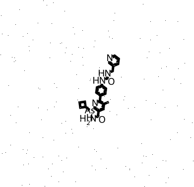 Cc1cc(C(N)=O)c([AsH]C2CCC2)nc1-c1ccc(NC(=O)NCc2cccnc2)cc1